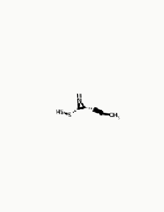 CC#C[C@H]1N[C@H]1SS